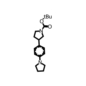 CC(C)(C)OC(=O)N1CCC(c2ccc(N3CCCC3)cc2)C1